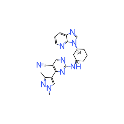 Cc1nn(C)cc1-c1nc(N[C@@H]2CCC[C@H](n3cnc4cccnc43)C2)ncc1C#N